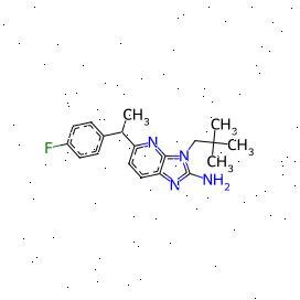 CC(c1ccc(F)cc1)c1ccc2nc(N)n(CC(C)(C)C)c2n1